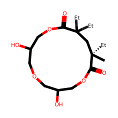 CCC1(CC)C[C@](C)(CC)C(=O)OCC(O)COCC(O)COC1=O